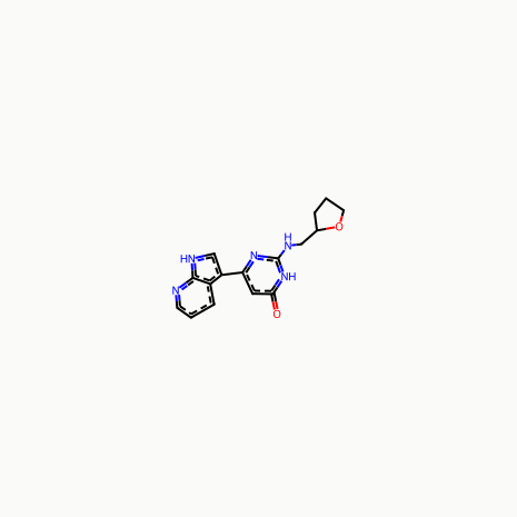 O=c1cc(-c2c[nH]c3ncccc23)nc(NCC2CCCO2)[nH]1